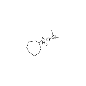 C[Si](C)O[SiH2]C1CCCCCCC1